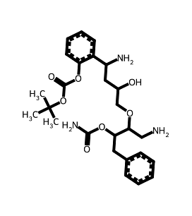 CC(C)(C)OC(=O)Oc1ccccc1C(N)CC(O)COC(CN)C(Cc1ccccc1)OC(N)=O